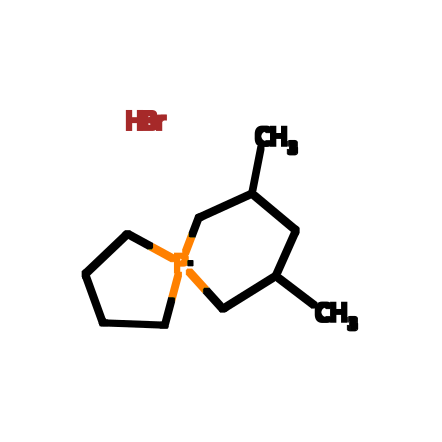 Br.CC1CC(C)C[P]2(CCCC2)C1